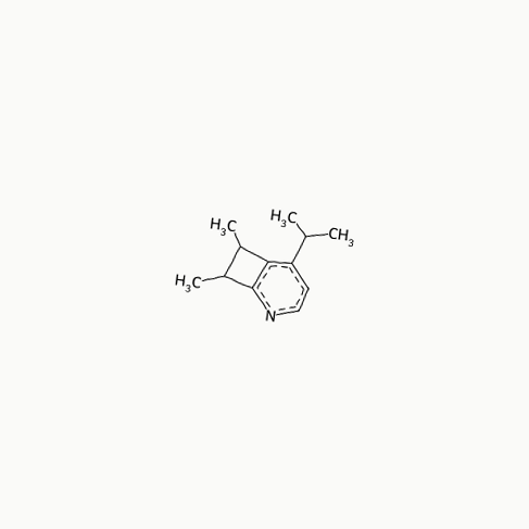 CC(C)c1ccnc2c1C(C)C2C